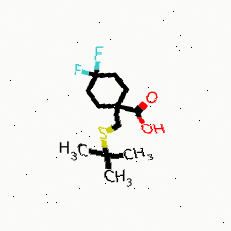 CC(C)(C)SCC1(C(=O)O)CCC(F)(F)CC1